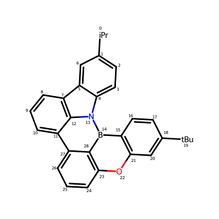 CC(C)c1ccc2c(c1)c1cccc3c1n2B1c2ccc(C(C)(C)C)cc2Oc2cccc-3c21